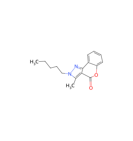 CCCCCn1nc2c(c1C)c(=O)oc1ccccc12